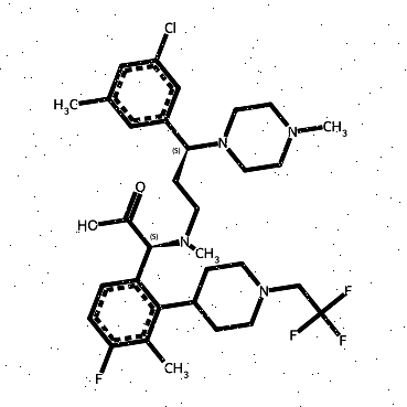 Cc1cc(Cl)cc([C@H](CCN(C)[C@H](C(=O)O)c2ccc(F)c(C)c2C2CCN(CC(F)(F)F)CC2)N2CCN(C)CC2)c1